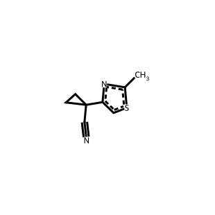 Cc1nc(C2(C#N)CC2)cs1